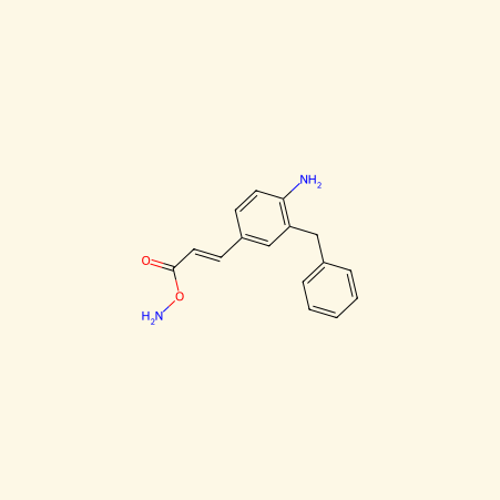 NOC(=O)C=Cc1ccc(N)c(Cc2ccccc2)c1